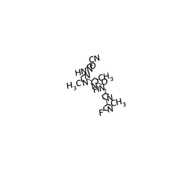 Cc1cc(Nc2cc(C#N)on2)nc(-c2cnc(C(=O)NCc3ccc(-c4cc(F)cnc4C)nc3)c(C)c2)n1